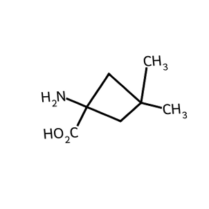 CC1(C)CC(N)(C(=O)O)C1